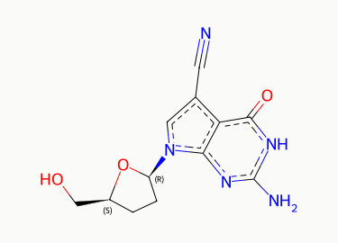 N#Cc1cn([C@H]2CC[C@@H](CO)O2)c2nc(N)[nH]c(=O)c12